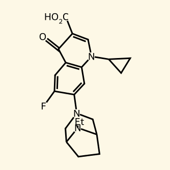 CCN1C2CCC1CN(c1cc3c(cc1F)c(=O)c(C(=O)O)cn3C1CC1)C2